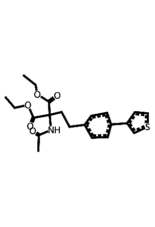 CCOC(=O)C(CCc1ccc(-c2ccsc2)cc1)(NC(C)=O)C(=O)OCC